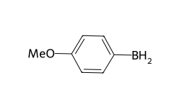 Bc1ccc(OC)cc1